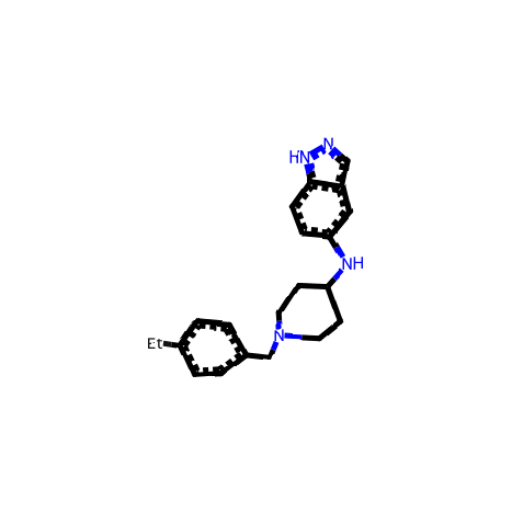 CCc1ccc(CN2CCC(Nc3ccc4[nH]ncc4c3)CC2)cc1